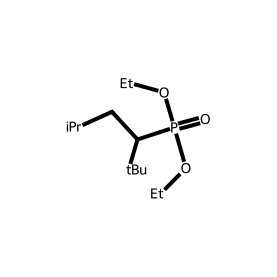 CCOP(=O)(OCC)C(CC(C)C)C(C)(C)C